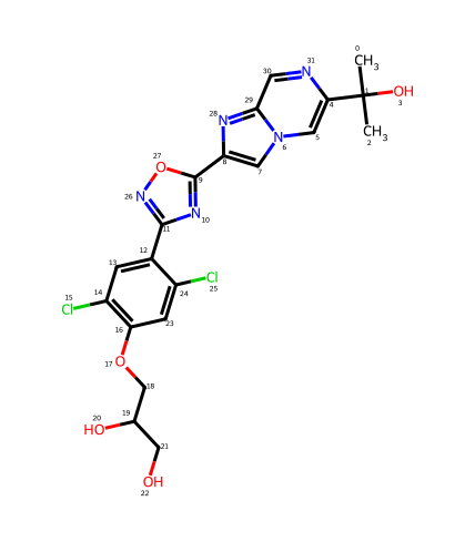 CC(C)(O)c1cn2cc(-c3nc(-c4cc(Cl)c(OCC(O)CO)cc4Cl)no3)nc2cn1